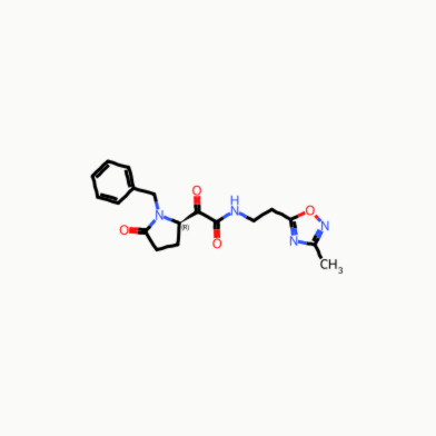 Cc1noc(CCNC(=O)C(=O)[C@H]2CCC(=O)N2Cc2ccccc2)n1